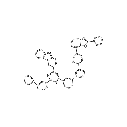 c1ccc(-c2cccc(-c3nc(-c4cccc(-c5cccc(-c6ccc(-c7cccc8nc(-c9ccccc9)oc78)cc6)c5)c4)nc(-c4ccc5sc6ccccc6c5c4)n3)c2)cc1